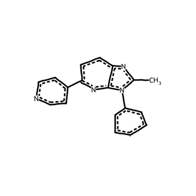 Cc1nc2ccc(-c3ccncc3)nc2n1-c1cc[c]cc1